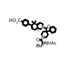 CC[C@H](C)[C@H](NC(C)=O)C(=O)N1CCC(C(=O)N2CC=C3C(C)(C)C(c4ccc(C(=O)O)cc4)=CC[C@]3(C)C2)(c2ccccc2)CC1